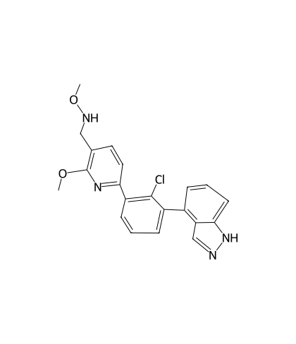 CONCc1ccc(-c2cccc(-c3cccc4[nH]ncc34)c2Cl)nc1OC